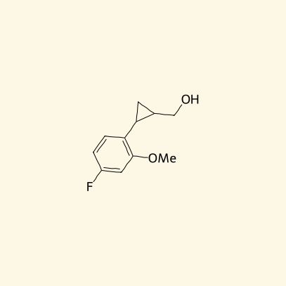 COc1cc(F)ccc1C1CC1CO